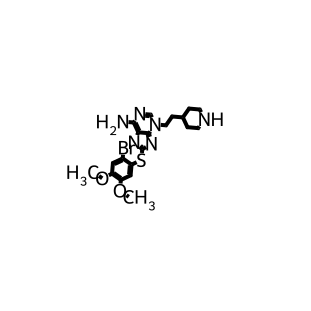 COc1cc(Br)c(Sc2nc3c(N)ncn(CCC4CCNCC4)c-3n2)cc1OC